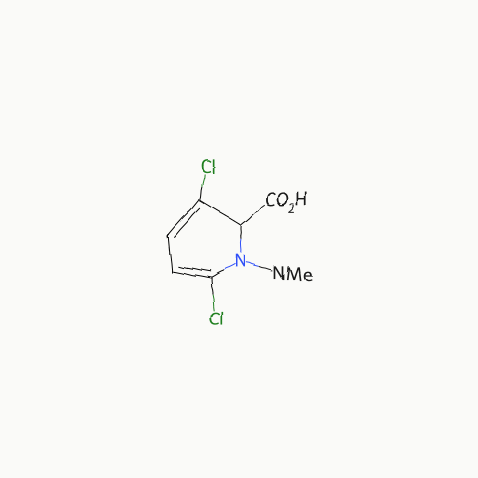 CNN1C(Cl)=CC=C(Cl)C1C(=O)O